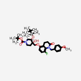 COc1ccc(CN2C(=O)CCc3c(OC[C@]4(O)CCN(C(=O)OC(C)(C)C)C[C@H]4O[Si](C)(C)C(C)(C)C)ccc(F)c32)cc1